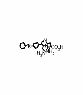 NC(N)Cc1c(-c2ccc(OCc3ccccc3)cc2)cnc2cc(C(=O)O)nn12